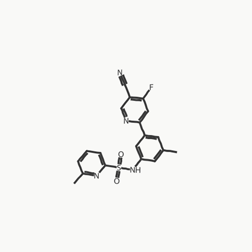 Cc1cc(NS(=O)(=O)c2cccc(C)n2)cc(-c2cc(F)c(C#N)cn2)c1